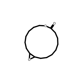 O=C1CCCCCCCC2OC2CCCCCCO1